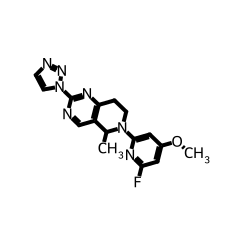 COc1cc(F)nc(N2CCc3nc(-n4ccnn4)ncc3C2C)c1